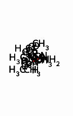 CCOc1cc(C(Nc2ccc3c(N)nccc3c2)C(=O)N2CC[C@H](C(=O)OC)[C@H]2c2cc(C(=O)OC)ccc2S(=O)(=O)C(C)C)ccc1OC(C)C